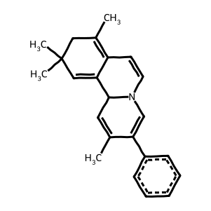 CC1=CC2C3=CC(C)(C)CC(C)=C3C=CN2C=C1c1ccccc1